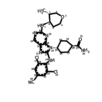 C[C@@H]1COCC[C@H]1Nc1ncc2nc(Nc3c(Cl)cc(C#N)cc3Cl)n([C@H]3CC[C@H](C(N)=O)CC3)c2n1